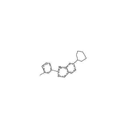 Cc1cccc(-c2ccc3ccc(C4CCCCC4)cc3n2)c1